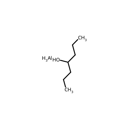 CCCC(O)CCC.[AlH3]